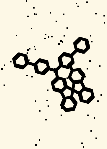 CC1C=CC2=C(C1)C1(c3ccccc32)c2ccccc2-c2ccc(N(c3ccc(-c4ccccc4)cc3)c3ccc(-c4ccccc4)cc3)cc21